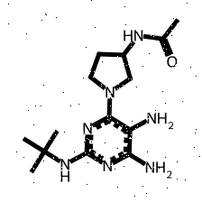 CC(=O)NC1CCN(c2nc(NC(C)(C)C)nc(N)c2N)C1